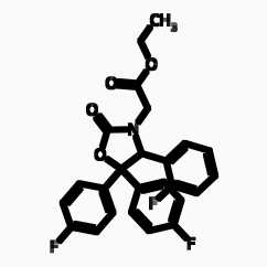 CCOC(=O)CN1C(=O)OC(c2ccc(F)cc2)(c2ccc(F)cc2)C1c1ccccc1F